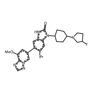 COc1cc(-c2cc3[nH]c(=O)n(C4CCC(N5CCC(F)C5)CC4)c3cc2C(C)C)cn2ncnc12